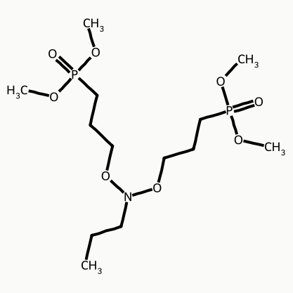 CCCN(OCCCP(=O)(OC)OC)OCCCP(=O)(OC)OC